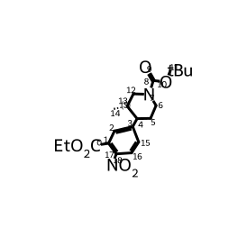 CCOC(=O)c1cc(C2CCN(C(=O)OC(C)(C)C)C[C@H]2C)ccc1[N+](=O)[O-]